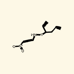 C=CCC(C=C)SN/C=C/[N+](=O)[O-]